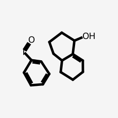 O=Ic1ccccc1.OC1CCCC2CCCC=C12